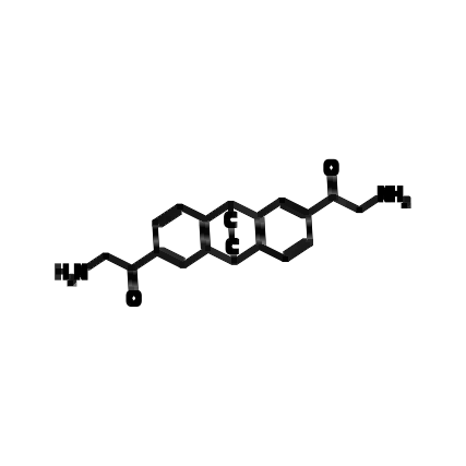 NCC(=O)c1ccc2c(c1)C1CCC2c2cc(C(=O)CN)ccc21